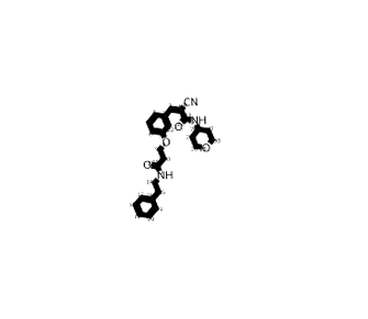 N#CC(=Cc1cccc(OCCC(=O)N[CH]Cc2ccccc2)c1)C(=O)NC1CCOCC1